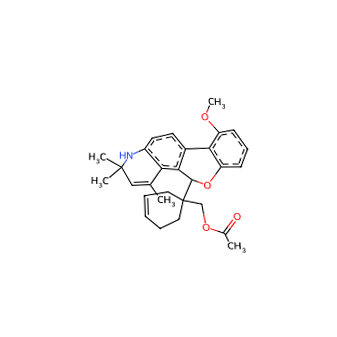 COc1cccc2c1-c1ccc3c(c1C(C1(COC(C)=O)CC=CCC1)O2)C(C)=CC(C)(C)N3